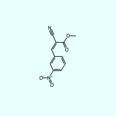 COC(=O)C(C#N)=Cc1cccc([N+](=O)[O-])c1